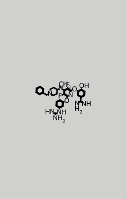 CN(c1c(F)c(Oc2cccc(NC(=N)N)c2)nc(Oc2cc(C(=N)N)ccc2O)c1F)C1CCN(Cc2ccccc2)CC1